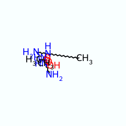 CCCCCCCCCCCCCCCCNC(CCCCN)C(=O)NC(C(=O)NC(CCCCN)C(=O)O)C(C)C